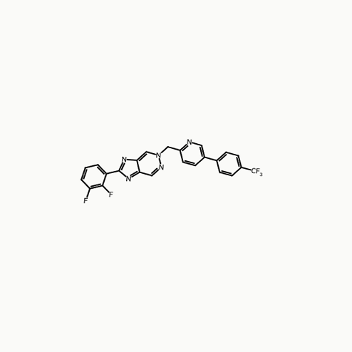 Fc1cccc(-c2nc3cnn(Cc4ccc(-c5ccc(C(F)(F)F)cc5)cn4)cc-3n2)c1F